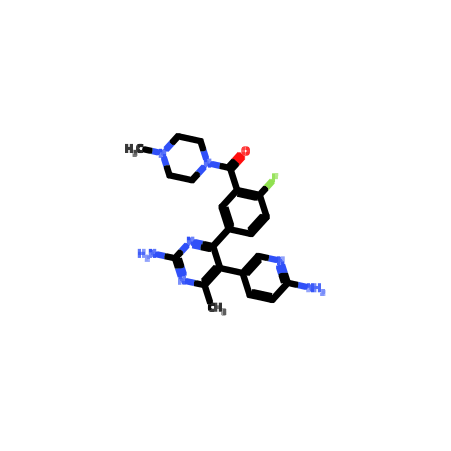 Cc1nc(N)nc(-c2ccc(F)c(C(=O)N3CCN(C)CC3)c2)c1-c1ccc(N)nc1